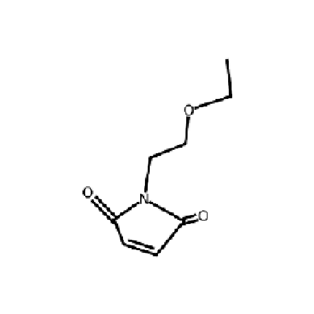 CCOCCN1C(=O)C=CC1=O